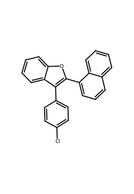 Clc1ccc(-c2c(-c3cccc4ccccc34)oc3ccccc23)cc1